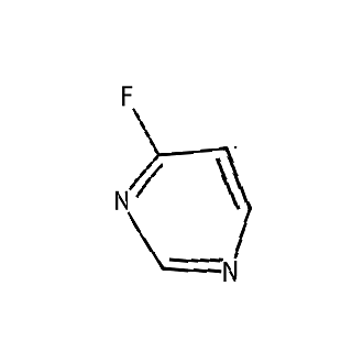 Fc1[c]cncn1